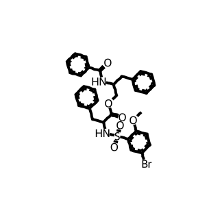 COc1ccc(Br)cc1S(=O)(=O)NC(Cc1ccccc1)C(=O)OCC(Cc1ccccc1)NC(=O)c1ccccc1